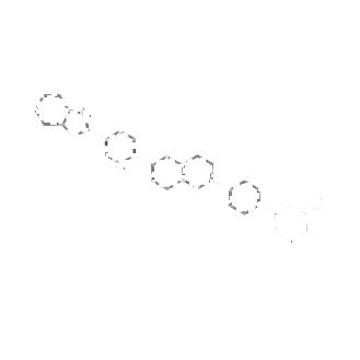 FC1CC(c2ccc(-c3ccc4cc(-c5ccc(-c6nc7ccccc7s6)cn5)ccc4c3)cc2)C[C@@H](F)C1